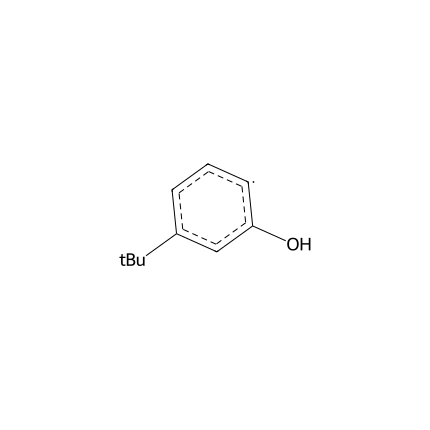 CC(C)(C)c1cc[c]c(O)c1